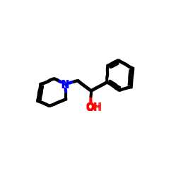 OC(CN1CC=CCC1)c1ccccc1